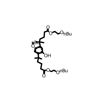 CCCCOCCOC(=O)CCCC(C)(C)c1cc(OCCCC)c(C(C)(C)CCCC(=O)OCCOCCCC)cc1O